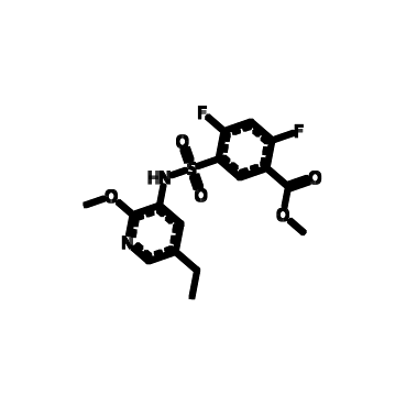 CCc1cnc(OC)c(NS(=O)(=O)c2cc(C(=O)OC)c(F)cc2F)c1